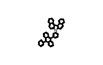 c1ccc(-c2c3ccccc3c(-c3cccc(-n4c5ccc6ccccc6c5c5c6ccccc6ccc54)c3)c3ccccc23)cc1